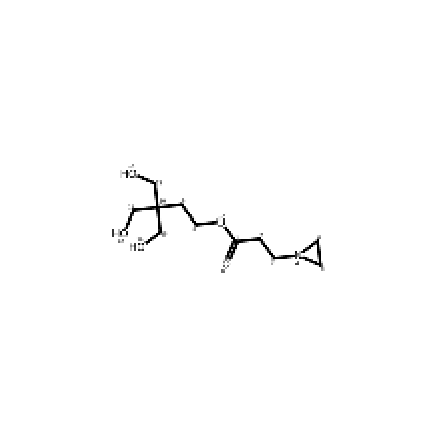 O=C(CCN1CC1)OCCC(CO)(CO)CO